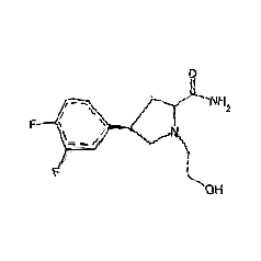 NC(=O)C1[CH][C@H](c2ccc(F)c(F)c2)CN1CCO